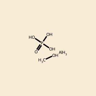 CO.O=P(O)(O)O.[AlH3]